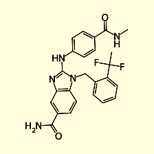 CNC(=O)c1ccc(Nc2nc3cc(C(N)=O)ccc3n2Cc2ccccc2C(C)(F)F)cc1